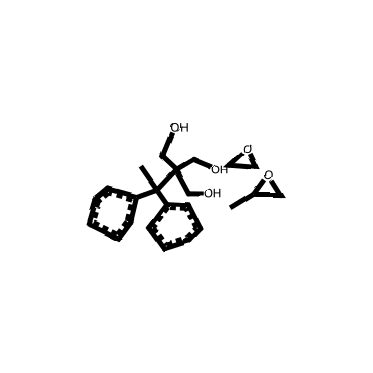 C1CO1.CC(c1ccccc1)(c1ccccc1)C(CO)(CO)CO.CC1CO1